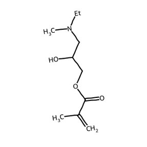 C=C(C)C(=O)OCC(O)CN(C)CC